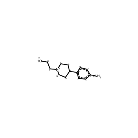 Nc1ccc(C2CCN(CCO)CC2)cc1